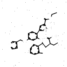 CCOC(=O)c1cc(-c2ccc(OCc3ccsc3)cc2OC(CC(CC)C(=O)O)c2ccccc2C)n[nH]1